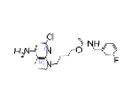 C=CN(CCCCOC(=C)NCc1cccc(F)c1)C(/N=C(\C)Cl)=C(\C)C(=C)N